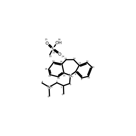 CC(CN(C)C)CN1c2ccccc2CCc2ccccc21.CS(=O)(=O)O